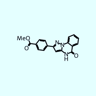 COC(=O)c1ccc(-c2cc3[nH]c(=O)c4ccccc4n3n2)cc1